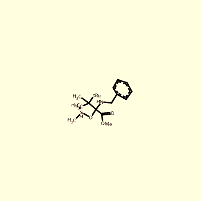 COC(=O)C(NCc1ccccc1)(O[SiH](C)C)C(C)(C)C(C)(C)C